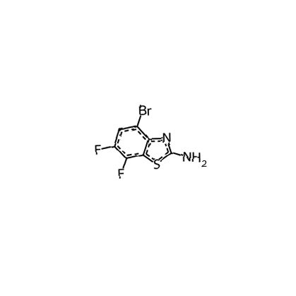 Nc1nc2c(Br)cc(F)c(F)c2s1